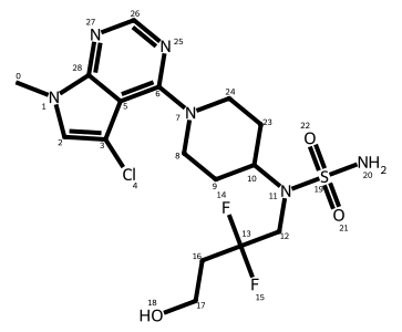 Cn1cc(Cl)c2c(N3CCC(N(CC(F)(F)CCO)S(N)(=O)=O)CC3)ncnc21